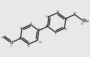 C=Nc1ccc(-c2ccc(CC(C)CC)cc2)cc1